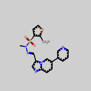 CN(N=Cc1cnc2ccc(-c3cccnc3)cn12)S(=O)(=O)c1ccsc1C(=O)O